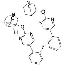 Fc1ccccc1-c1cnc(O[C@@H]2CN3CCC2CC3)nc1.c1ccc(-c2cnc(OC3CN4CCC3CC4)nc2)cc1